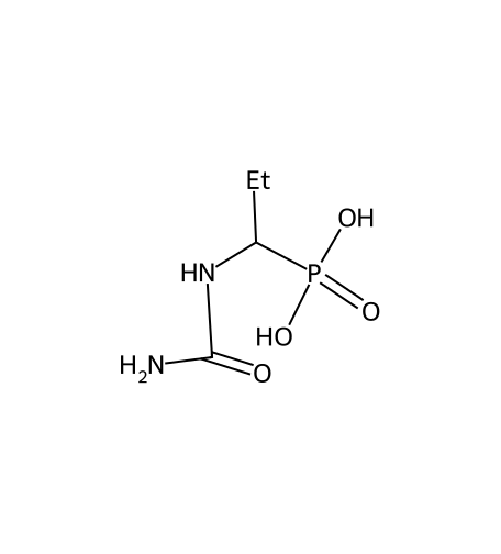 CCC(NC(N)=O)P(=O)(O)O